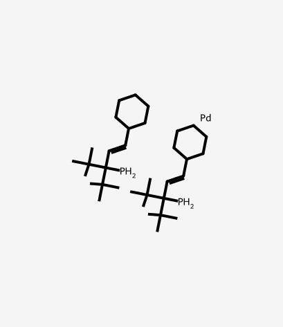 CC(C)(C)C(P)(C=CC1CCCCC1)C(C)(C)C.CC(C)(C)C(P)(C=CC1CCCCC1)C(C)(C)C.[Pd]